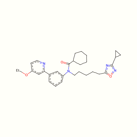 CCOc1ccnc(-c2cccc(N(CCCCCc3nc(C4CC4)no3)C(=O)C3CCCCC3)c2)c1